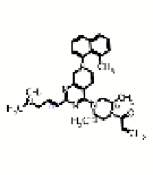 C=CC(=O)N1C[C@H](C)N(c2nc(/C=C/CN(C)C)nc3c2CCN(c2cccc4cccc(C)c24)C3)C[C@H]1C